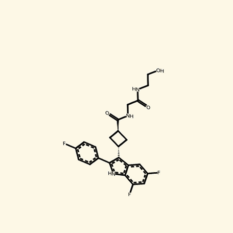 O=C(CNC(=O)[C@H]1C[C@H](c2c(-c3ccc(F)cc3)[nH]c3c(F)cc(F)cc32)C1)NCCO